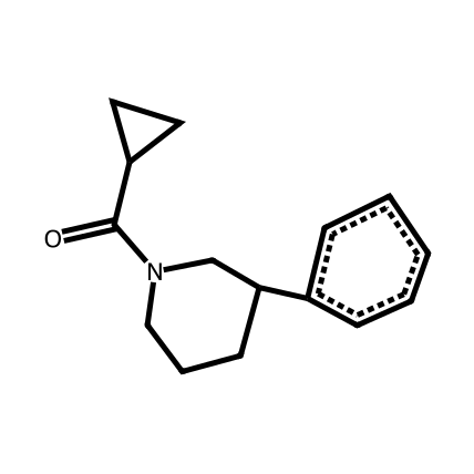 O=C(C1CC1)N1CCCC(c2ccccc2)C1